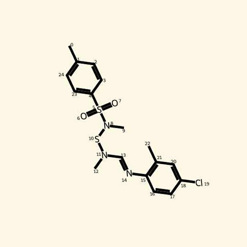 Cc1ccc(S(=O)(=O)N(C)SN(C)C=Nc2ccc(Cl)cc2C)cc1